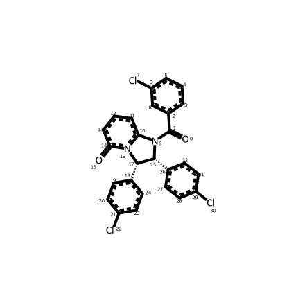 O=C(c1cccc(Cl)c1)N1c2cccc(=O)n2[C@@H](c2ccc(Cl)cc2)[C@H]1c1ccc(Cl)cc1